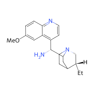 CC[C@H]1C[N@@]2CCC1CC2[C@H](N)c1ccnc2ccc(OC)cc12